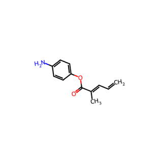 C=CC=C(C)C(=O)Oc1ccc(N)cc1